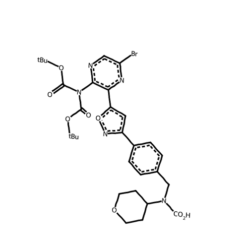 CC(C)(C)OC(=O)N(C(=O)OC(C)(C)C)c1ncc(Br)nc1-c1cc(-c2ccc(CN(C(=O)O)C3CCOCC3)cc2)no1